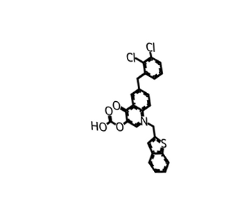 O=C(O)Oc1cn(Cc2cc3ccccc3s2)c2ccc(Cc3cccc(Cl)c3Cl)cc2c1=O